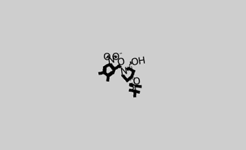 Cc1cc(C(=O)N2CC[C@@H](O[Si](C)(C)C(C)(C)C)C[C@H]2CO)c([N+](=O)[O-])cc1C